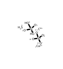 S.[C+4].[Ca+2].[O-][Si]([O-])(O)O.[O-][Si]([O-])([O-])[O-]